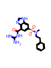 CN(CCc1ccccc1)S(=O)(=O)c1cc(C(=O)NC(=N)N)c2nc[nH]c2c1